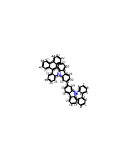 c1ccc(-c2ccccc2-n2c3ccccc3c3ccc(-c4ccc5c6ccccc6n(-c6ccccc6-c6cc7ccccc7c7ccccc67)c5c4)cc32)cc1